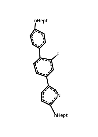 CCCCCCCc1ccc(-c2ccc(-c3ccc(CCCCCCC)nc3)cc2F)cc1